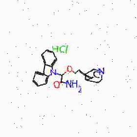 Cl.NC(=O)C(OCC=C1CN2CCC1CC2)n1c2ccccc2c2ccccc21